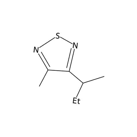 CCC(C)c1nsnc1C